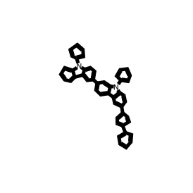 c1ccc(-c2ccc(-c3ccc4c(c3)c3ccc(-c5ccc6c(c5)c5ccccc5n6-c5ccccc5)cc3n4-c3ccccc3)cc2)cc1